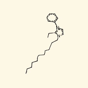 CCCCCCCCCCC[n+]1ccn(-c2ccccc2)c1CC